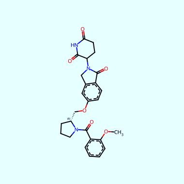 COc1ccccc1C(=O)N1CCC[C@@H]1COc1ccc2c(c1)CN(C1CCC(=O)NC1=O)C2=O